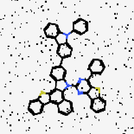 c1ccc(-c2nc(-n3c4cc(-c5ccc6c(c5)c5ccccc5n6-c5ccccc5)ccc4c4c5sc6ccccc6c5c5ccccc5c43)nc3c2sc2ccccc23)cc1